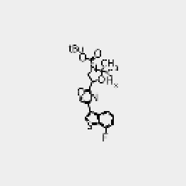 CC(C)(C)OC(=O)N1CC(c2nc(-c3csc4c(F)cccc34)co2)OC1(C)C